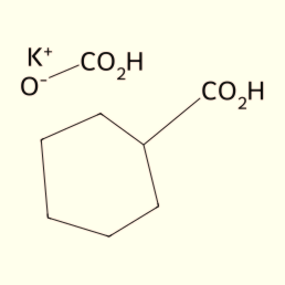 O=C(O)C1CCCCC1.O=C([O-])O.[K+]